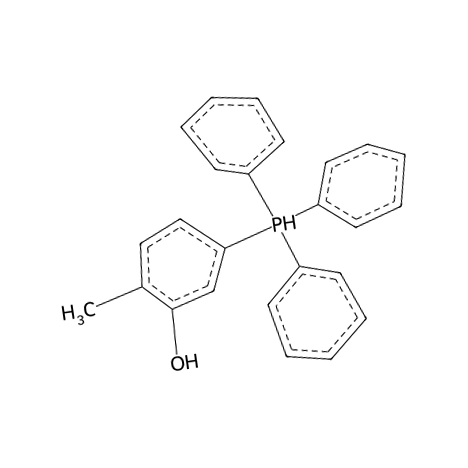 Cc1ccc([PH](c2ccccc2)(c2ccccc2)c2ccccc2)cc1O